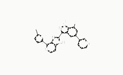 Cc1ccc(-c2nccc3[nH]c(-c4n[nH]c5c(F)cc(-c6cccnc6)cc45)nc23)s1